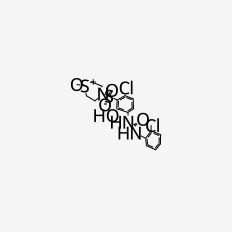 O=C(Nc1ccccc1Cl)Nc1ccc(Cl)c(S(=O)(=O)N2CC[S+]([O-])CC2)c1O